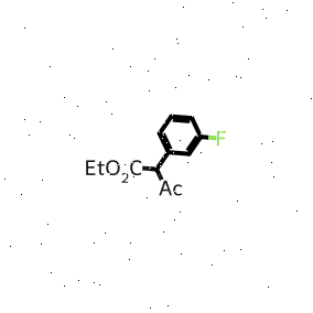 CCOC(=O)C(C(C)=O)c1cccc(F)c1